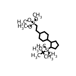 CO[Si](CCC1CC[C](C2CCCC2[Si](C)(C)C(C)(C)C)CC1)(OC)OC